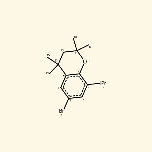 CC(C)c1cc(Br)cc2c1OC(C)(C)CC2(C)C